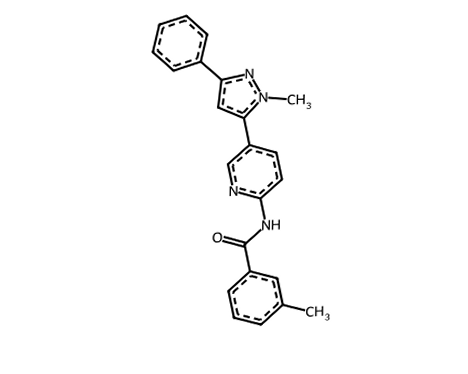 Cc1cccc(C(=O)Nc2ccc(-c3cc(-c4ccccc4)nn3C)cn2)c1